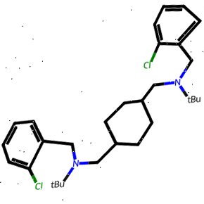 CC(C)(C)N(Cc1ccccc1Cl)CC1CCC(CN(Cc2ccccc2Cl)C(C)(C)C)CC1